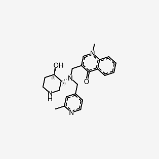 Cc1cc(CN(Cc2cn(C)c3ccccc3c2=O)[C@@H]2CNCC[C@H]2O)ccn1